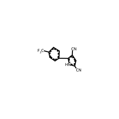 N#Cc1cc(C#N)c(-c2ccc(C(F)(F)F)cc2)[nH]1